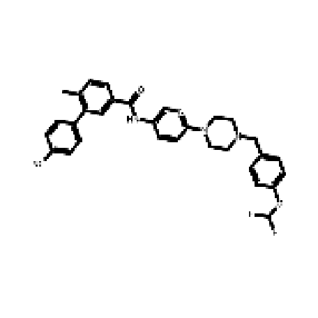 Cc1ccc(C(=O)Nc2ccc(N3CCN(Cc4ccc(OC(F)F)cc4)CC3)nc2)cc1-c1ccc(C#N)cc1